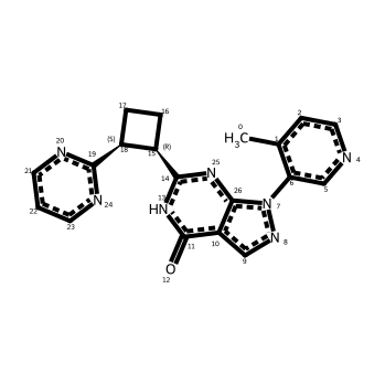 Cc1ccncc1-n1ncc2c(=O)[nH]c([C@@H]3CC[C@@H]3c3ncccn3)nc21